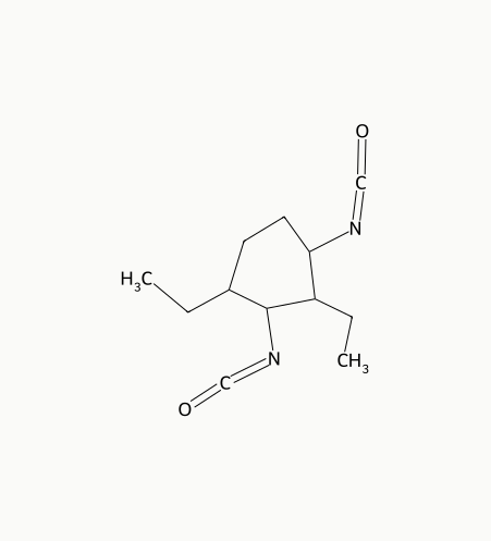 CCC1CCC(N=C=O)C(CC)C1N=C=O